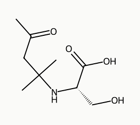 CC(=O)CC(C)(C)N[C@@H](CO)C(=O)O